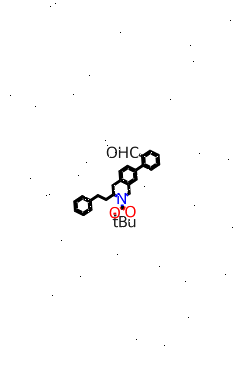 CC(C)(C)OC(=O)N1Cc2cc(-c3ccccc3C=O)ccc2CC1CCc1ccccc1